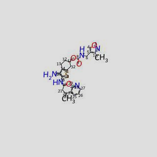 Cc1nocc1CNC(=O)OC1CCc2c(sc(NC(=O)CC(C)c3cccnc3)c2N)C1